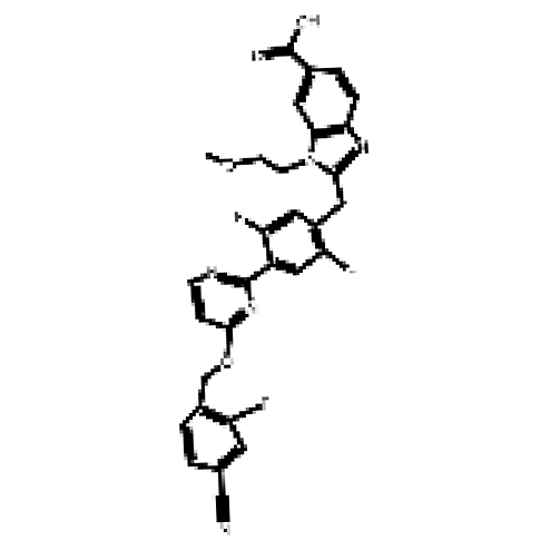 COCCn1c(Cc2cc(F)c(-c3nccc(OCc4ccc(C#N)cc4F)n3)cc2F)nc2ccc(C(=O)O)cc21